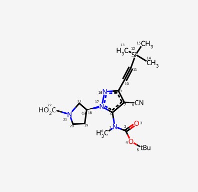 CN(C(=O)OC(C)(C)C)c1c(C#N)c(C#C[Si](C)(C)C)nn1[C@H]1CCN(C(=O)O)C1